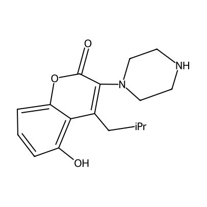 CC(C)Cc1c(N2CCNCC2)c(=O)oc2cccc(O)c12